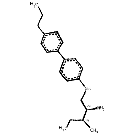 CCCc1ccc(-c2ccc(NC[C@@H](N)[C@@H](C)CC)cc2)cc1